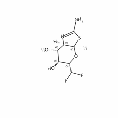 NC1=N[C@@H]2[C@@H](O)[C@H](O)[C@@H](C(F)F)O[C@@H]2S1